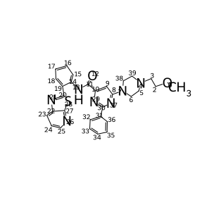 COCCN1CCN(c2cc(C(=O)Nc3ccccc3-c3nc4cccnc4s3)nc(-c3ccccc3)n2)CC1